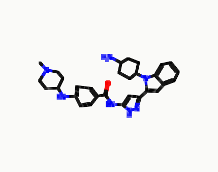 CN1CCC(Nc2ccc(C(=O)Nc3cc(-c4cc5ccccc5n4C4CCC(N)CC4)n[nH]3)cc2)CC1